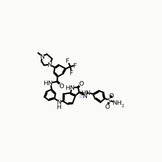 CN1CCN(c2cc(C(=O)Nc3cccc(Nc4ccc5c(c4)NC(=O)/C5=N\Nc4ccc(S(N)(=O)=O)cc4)c3)cc(C(F)(F)F)c2)CC1